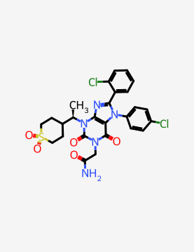 C[C@H](C1CCS(=O)(=O)CC1)n1c(=O)n(CC(N)=O)c(=O)c2c1nc(-c1ccccc1Cl)n2-c1ccc(Cl)cc1